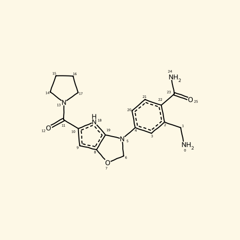 NCc1cc(N2COc3cc(C(=O)N4CCCC4)[nH]c32)ccc1C(N)=O